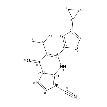 CC(C)c1c(-c2cc(C3CC3)co2)[nH]c2c(C#N)cnn2c1=O